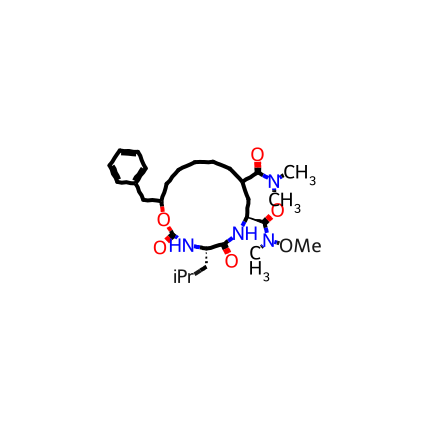 CON(C)C(=O)[C@@H]1CC(C(=O)N(C)C)CCCCCC(Cc2ccccc2)OC(=O)N[C@@H](CC(C)C)C(=O)N1